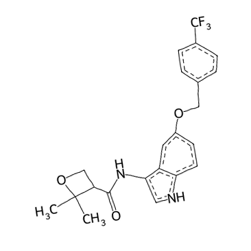 CC1(C)OCC1C(=O)Nc1c[nH]c2ccc(OCc3ccc(C(F)(F)F)cc3)cc12